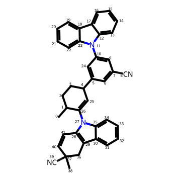 CC1CCC(c2cc(C#N)cc(-n3c4ccccc4c4ccccc43)c2)C=C1n1c2c(c3ccccc31)CC(C)(C#N)C=C2